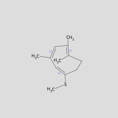 CS/C1=C/C(C)=C\C(C)=C(/C)CC1